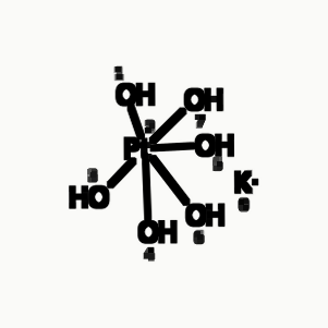 [K].[OH][Pt]([OH])([OH])([OH])([OH])[OH]